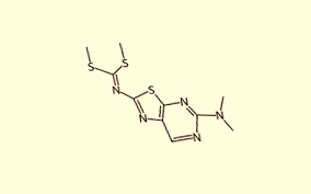 CSC(=Nc1nc2cnc(N(C)C)nc2s1)SC